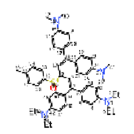 CCN(CC)c1ccc(C(=CC(C=C(c2ccc(N(C)C)cc2)c2ccc(N(C)C)cc2)[S+]([O-])c2ccc(C)cc2)c2ccc(N(CC)CC)cc2)cc1